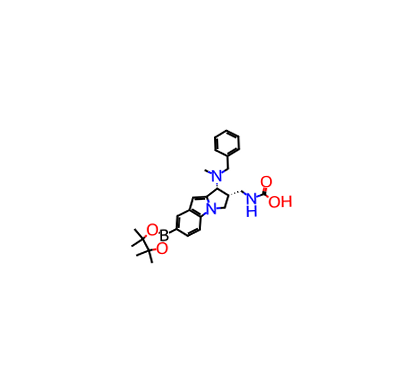 CN(Cc1ccccc1)[C@H]1c2cc3cc(B4OC(C)(C)C(C)(C)O4)ccc3n2C[C@H]1CNC(=O)O